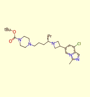 Cc1ncc2c(Cl)cc(C3CN([C@@H](CCCN4CCN(C(=O)OC(C)(C)C)CC4)C(C)C)C3)cn12